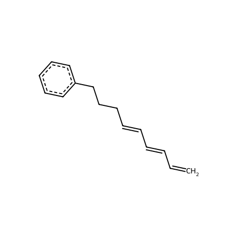 C=CC=CC=CCCCc1ccccc1